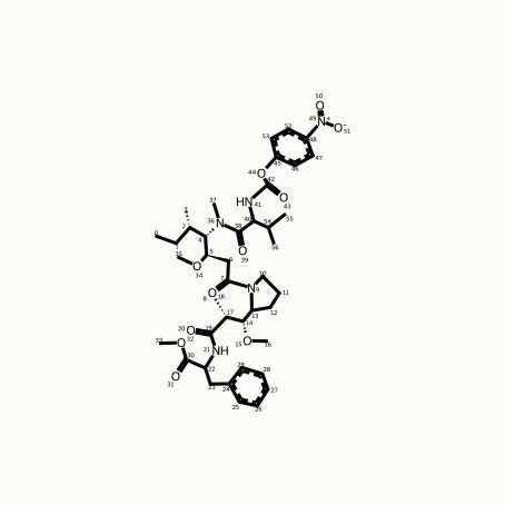 CC[C@H](C)[C@@H]([C@@H](CC(=O)N1CCCC1[C@H](OC)[C@@H](C)C(=O)NC(Cc1ccccc1)C(=O)OC)OC)N(C)C(=O)C(NC(=O)Oc1ccc([N+](=O)[O-])cc1)C(C)C